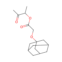 CC(=O)C(C)OC(=O)COC12CC3CC(CC(C3)C1)C2